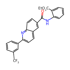 CCOC(=O)c1ccccc1NC(=O)c1ccc2nc(-c3cccc(C(F)(F)F)c3)ccc2c1